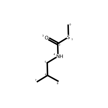 CSC(=O)NCC(C)C